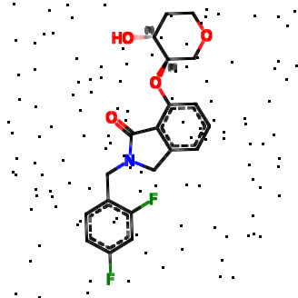 O=C1c2c(cccc2O[C@@H]2COCC[C@H]2O)CN1Cc1ccc(F)cc1F